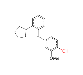 COc1cc([CH]c2ccccc2C2CCCC2)ccc1O